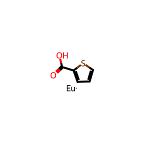 O=C(O)c1cccs1.[Eu]